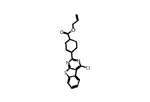 C=CCOC(=O)C1CCC(c2nc(Cl)c3c(n2)sc2ccccc23)CC1